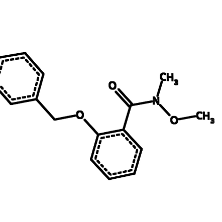 CON(C)C(=O)c1ccccc1OCc1ccccc1